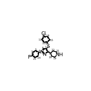 Fc1ccc(-n2cc(Sc3ccc(Cl)cc3)c(C3CCNCC3)n2)cc1